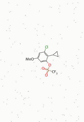 COc1cc(Cl)c(C2CC2)c(OS(=O)(=O)C(F)(F)F)c1